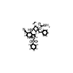 CC[C@@H]1CC(Cc2ccccc2)(OC(N)=O)C[C@@H]1Nc1c(C#N)cnc2c1ccn2S(=O)(=O)c1ccccc1